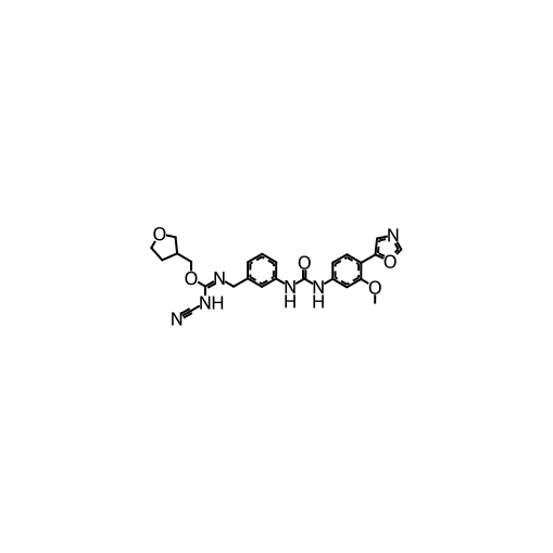 COc1cc(NC(=O)Nc2cccc(C/N=C(\NC#N)OCC3CCOC3)c2)ccc1-c1cnco1